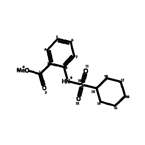 COC(=O)c1ccccc1NS(=O)(=O)C1CCCCC1